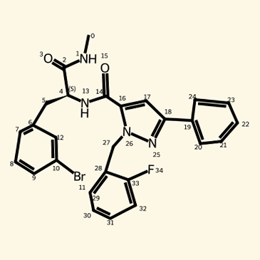 CNC(=O)[C@H](Cc1cccc(Br)c1)NC(=O)c1cc(-c2ccccc2)nn1Cc1ccccc1F